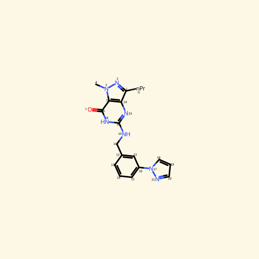 CCCc1nn(C)c2c(=O)[nH]c(NCc3cccc(-n4cccn4)c3)nc12